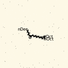 CCCCCCCCCCCCCCC1OC1CCCCCCCCN(CCCCCCCC)CCCCCCCC